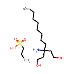 CCCCCCCCCCCCCCCCCC(N)(CCO)CCO.CCCS(=O)(=O)O